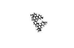 O=C(Nc1ccc(Oc2cc(C3CCNCC3)cn3nccc23)c(F)c1)c1c(-c2ccc(F)cc2)cc[nH]c1=O